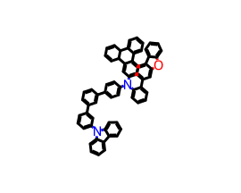 C1=CC2c3ccccc3-c3ccc(N(c4ccc(-c5cccc(-c6cccc(-n7c8ccccc8c8ccccc87)c6)c5)cc4)c4ccccc4-c4ccc5c(c4)oc4ccccc45)cc3C2C=C1